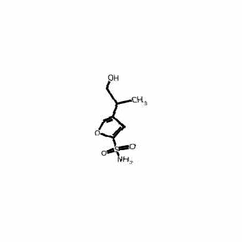 CC(CO)c1coc(S(N)(=O)=O)c1